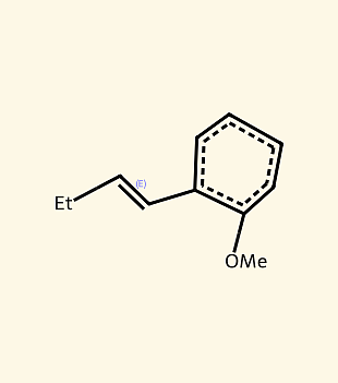 CC/C=C/c1ccccc1OC